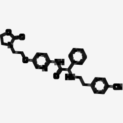 N#Cc1ccc(CCNC(C(=O)Nc2ccc(OCCN3CCOC3=O)cn2)c2ccccc2)cc1